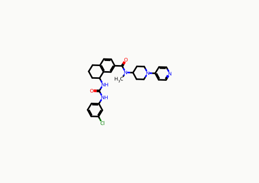 CN(C(=O)c1ccc2c(c1)C(NC(=O)Nc1cccc(Cl)c1)CCC2)C1CCN(c2ccncc2)CC1